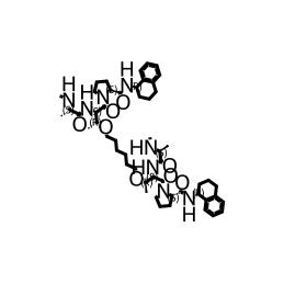 CN[C@@H](C)C(=O)N[C@H](C(=O)N1CCC[C@H]1C(=O)N[C@@H]1CCCc2ccccc21)[C@@H](C)OCCCCCCO[C@H](C)[C@H](NC(=O)[C@H](C)NC)C(=O)N1CCC[C@H]1C(=O)N[C@@H]1CCCc2ccccc21